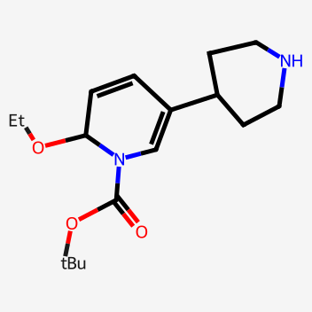 CCOC1C=CC(C2CCNCC2)=CN1C(=O)OC(C)(C)C